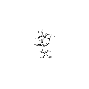 COC1(C(N)=O)CCC2CN1C(=O)N2OS(=O)(=O)O